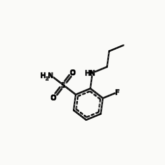 CCCNc1c(F)cccc1S(N)(=O)=O